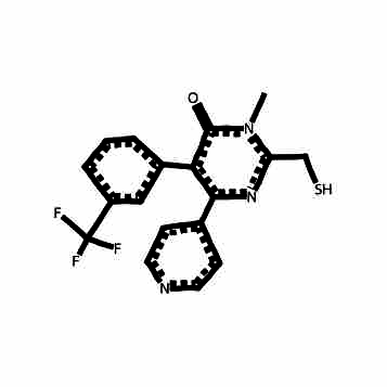 Cn1c(CS)nc(-c2ccncc2)c(-c2cccc(C(F)(F)F)c2)c1=O